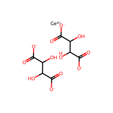 O=C([O-])C(O)C(O)C(=O)[O-].O=C([O-])C(O)C(O)C(=O)[O-].[Ge+4]